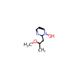 COC(C)CC1N=CC=CN1O